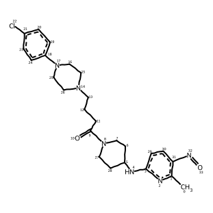 Cc1nc(NC2CCN(C(=O)CCCN3CCN(c4ccc(Cl)cc4)CC3)CC2)ccc1N=O